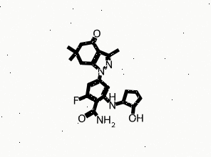 Cc1nn(-c2cc(F)c(C(N)=O)c(NC3CCCC3O)c2)c2c1C(=O)CC(C)(C)C2